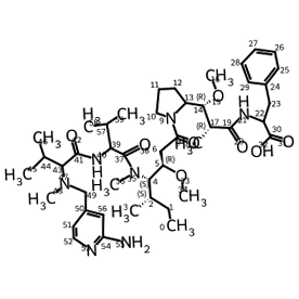 CC[C@H](C)[C@@H]([C@@H](CC(=O)N1CCCC1[C@H](OC)[C@@H](C)C(=O)NC(Cc1ccccc1)C(=O)O)OC)N(C)C(=O)C(NC(=O)C(C(C)C)N(C)Cc1ccnc(N)c1)C(C)C